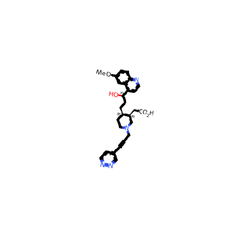 COc1ccc2nccc([C@H](O)CC[C@@H]3CCN(CC#Cc4ccnnc4)C[C@@H]3CC(=O)O)c2c1